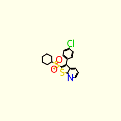 O=S(=O)(c1sc2ncccc2c1-c1ccc(Cl)cc1)C1CCCCC1